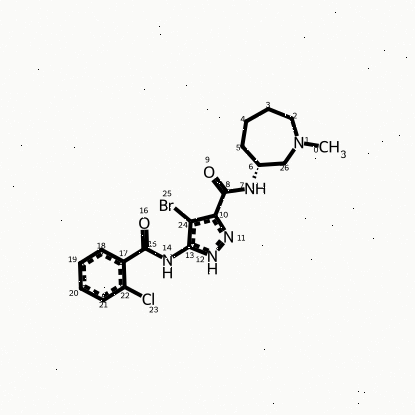 CN1CCCC[C@@H](NC(=O)c2n[nH]c(NC(=O)c3ccccc3Cl)c2Br)C1